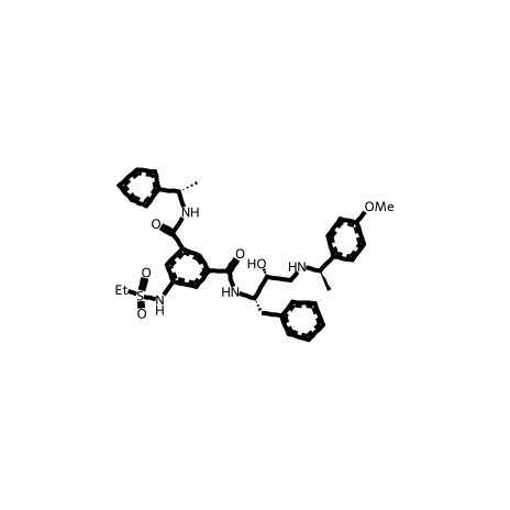 CCS(=O)(=O)Nc1cc(C(=O)N[C@@H](C)c2ccccc2)cc(C(=O)N[C@@H](Cc2ccccc2)[C@H](O)CN[C@H](C)c2ccc(OC)cc2)c1